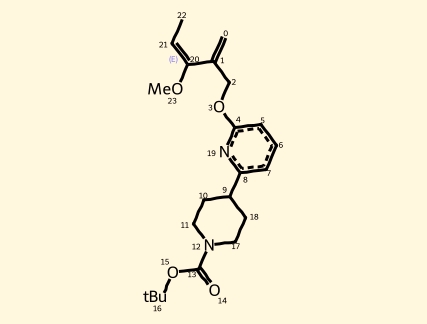 C=C(COc1cccc(C2CCN(C(=O)OC(C)(C)C)CC2)n1)/C(=C\C)OC